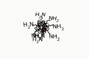 NCCC[Si]12O[Si]3(CCCN)O[Si]4(CCCN)O[Si](CCCN)(O1)O[Si]1(CCCN)O[Si](CCCN)(O2)O[Si](CCCN)(O3)O[Si](CCCN)(O4)O1